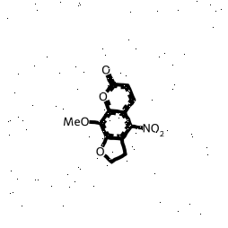 COc1c2c(c([N+](=O)[O-])c3ccc(=O)oc13)CCO2